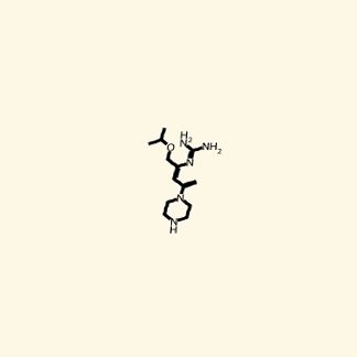 C=C(/C=C(/COC(C)C)N=C(N)N)N1CCNCC1